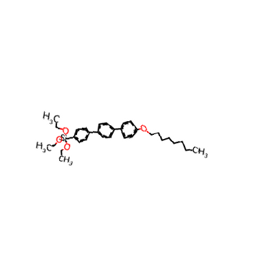 CCCCCCCCOc1ccc(-c2ccc(-c3ccc([Si](OCC)(OCC)OCC)cc3)cc2)cc1